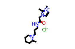 Cc1n(CC(=O)NCCCN2CCCCC2C)cc[n+]1C.[Cl-]